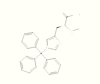 CN[C@@H](Cc1cn(C(c2ccccc2)(c2ccccc2)c2ccccc2)cn1)C(=O)O